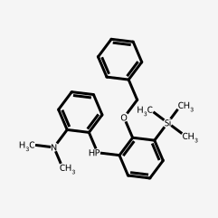 CN(C)c1ccccc1Pc1cccc([Si](C)(C)C)c1OCc1ccccc1